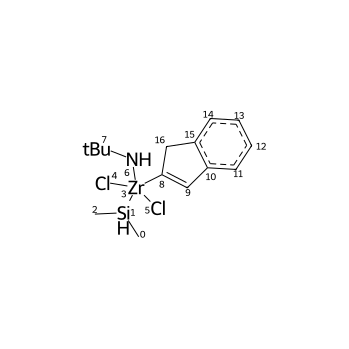 C[SiH](C)[Zr]([Cl])([Cl])([NH]C(C)(C)C)[C]1=Cc2ccccc2C1